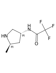 C[C@@H]1C[C@@H](NC(=O)C(F)(F)F)CN1